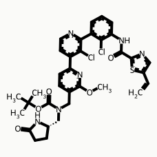 C=Cc1cnc(C(=O)Nc2cccc(-c3nccc(-c4ccc(CN(C[C@@H]5CCC(=O)N5)C(=O)OC(C)(C)C)c(OC)n4)c3Cl)c2Cl)s1